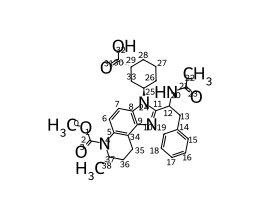 COC(=O)N1c2ccc3c(nc(C(Cc4ccccc4)NC(C)=O)n3[C@@H]3CCC[C@@H](C(=O)O)C3)c2CC[C@@H]1C